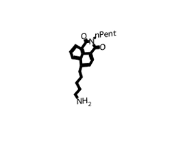 CCCCCN1C(=O)c2cccc3c(CCCCCN)ccc(c23)C1=O